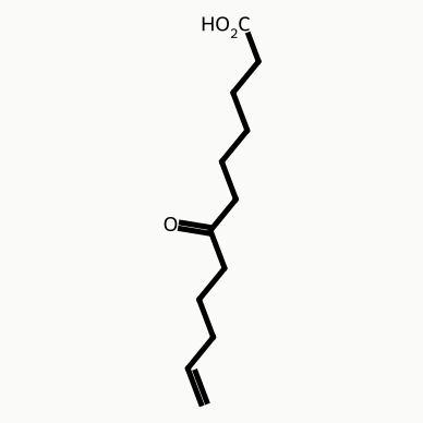 C=CCCCC(=O)CCCCCC(=O)O